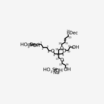 CCCCCCCCCCCCCCOCC(COCCO)(COCCO)COCCCCCCCCCCCCCC.O=S(=O)(O)O.O=S(=O)(O)O.[Na]